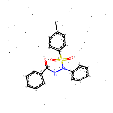 Cc1ccc(S(=O)(=O)N(NC(=O)c2ccccc2)c2ccccc2)cc1